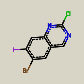 Clc1ncc2cc(Br)c(I)cc2n1